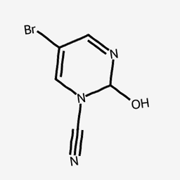 N#CN1C=C(Br)C=NC1O